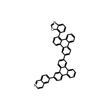 c1cc(-c2cccc3c4cc(-c5ccc6c7cc(-c8ccc9cnccc9c8)ccc7c7ccccc7c6c5)ccc4c4ccccc4c23)c2ocnc2c1